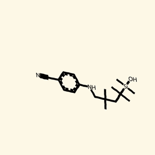 CC(C)(CNc1ccc(C#N)cc1)CC(C)(C)[Si](C)(C)O